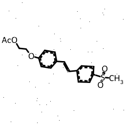 CC(=O)OCCOc1ccc(/C=C/c2ccc(S(C)(=O)=O)cc2)cc1